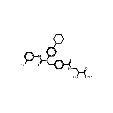 COC(=O)C(O)CNC(=O)c1ccc(CN(C(=O)Nc2cccc(C(C)(C)C)c2)c2ccc(C3CCCCC3)cc2)cc1